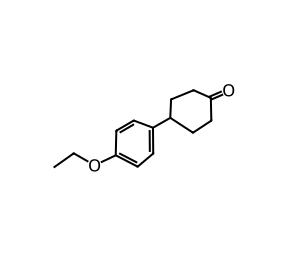 CCOc1ccc(C2CCC(=O)CC2)cc1